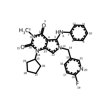 Cn1c(=O)c2c(Nc3ccccc3)n(Cc3ccc(F)nc3)cc2n(C2CCCC2)c1=O